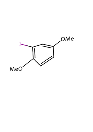 COc1ccc(OC)c(I)c1